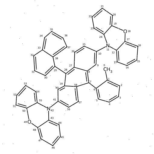 Cc1ccccc1-c1c2cc(N3c4ccccc4Oc4ccccc43)ccc2c(-c2cccc3ccccc23)c2cc(N3c4ccccc4Oc4ccccc43)ccc12